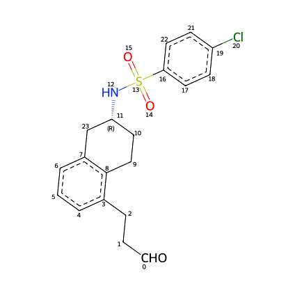 O=CCCc1cccc2c1CC[C@@H](NS(=O)(=O)c1ccc(Cl)cc1)C2